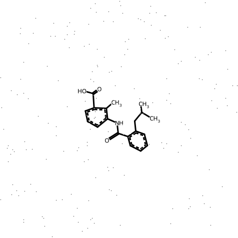 Cc1c(NC(=O)c2ccccc2CC(C)C)cccc1C(=O)O